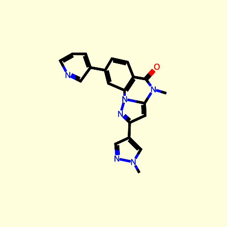 Cn1cc(-c2cc3n(C)c(=O)c4ccc(-c5cccnc5)cc4n3n2)cn1